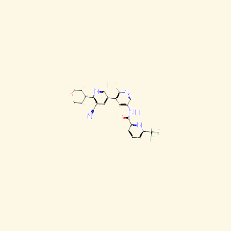 Cc1ncc(NC(=O)c2cccc(C(F)(F)I)n2)cc1-c1cnc(C2CCOCC2)c(C#N)c1